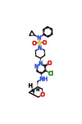 O=c1c(Cl)c(NC[C@@H]2COCC3C[C@H]32)cnn1C1CCN(S(=O)(=O)N(c2ccccc2)C2CC2)CC1